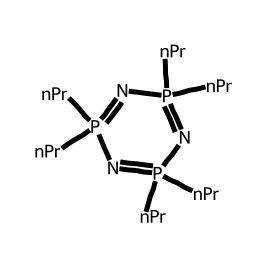 CCCP1(CCC)=NP(CCC)(CCC)=NP(CCC)(CCC)=N1